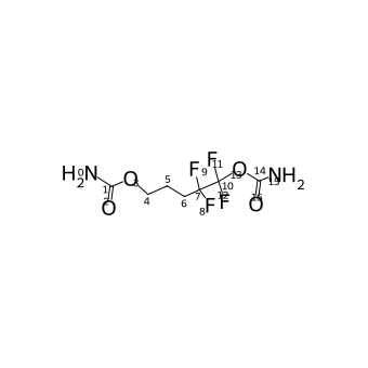 NC(=O)OCCCC(F)(F)C(F)(F)OC(N)=O